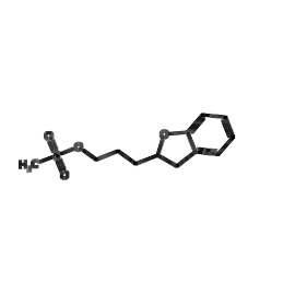 CS(=O)(=O)OCCCC1Cc2ccccc2O1